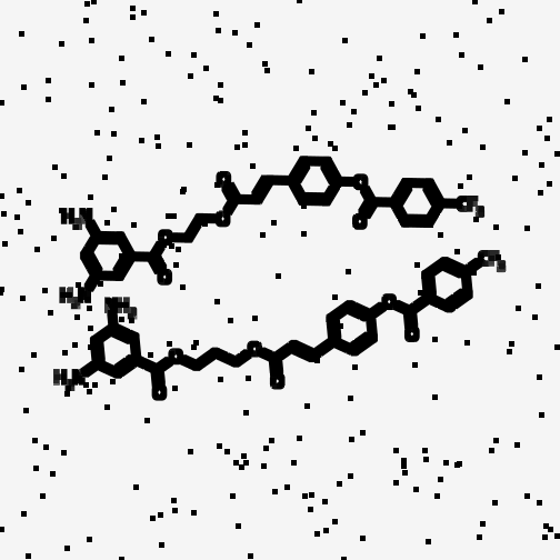 Nc1cc(N)cc(C(=O)OCCCOC(=O)C=Cc2ccc(OC(=O)c3ccc(C(F)(F)F)cc3)cc2)c1.Nc1cc(N)cc(C(=O)OCCOC(=O)C=Cc2ccc(OC(=O)c3ccc(C(F)(F)F)cc3)cc2)c1